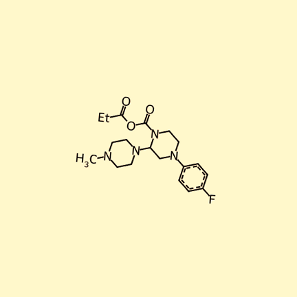 CCC(=O)OC(=O)N1CCN(c2ccc(F)cc2)CC1N1CCN(C)CC1